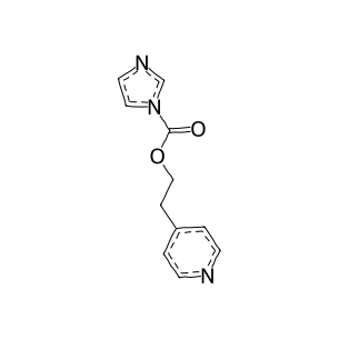 O=C(OCCc1ccncc1)n1ccnc1